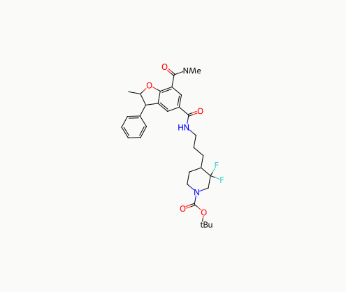 CNC(=O)c1cc(C(=O)NCCCC2CCN(C(=O)OC(C)(C)C)CC2(F)F)cc2c1OC(C)C2c1ccccc1